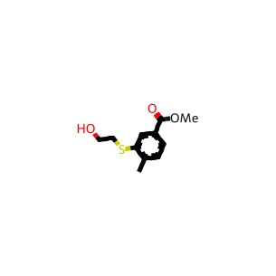 COC(=O)c1ccc(C)c(SCCO)c1